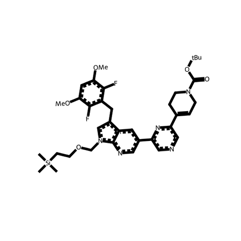 COc1cc(OC)c(F)c(Cc2cn(COCC[Si](C)(C)C)c3ncc(-c4cncc(C5=CCN(C(=O)OC(C)(C)C)CC5)n4)cc23)c1F